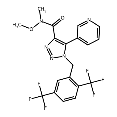 CON(C)C(=O)c1nnn(Cc2cc(C(F)(F)F)ccc2C(F)(F)F)c1-c1cccnc1